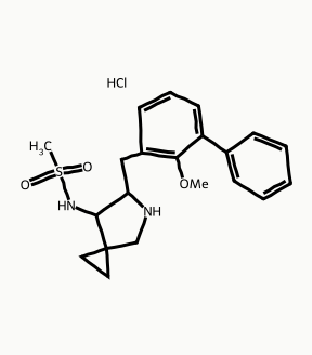 COc1c(CC2NCC3(CC3)C2NS(C)(=O)=O)cccc1-c1ccccc1.Cl